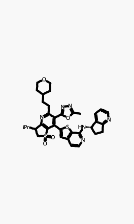 Cc1nnc(-c2c(CCC3CCOCC3)nc3c(c2-c2cc4ccnc(N[C@@H]5CCc6ncccc65)c4s2)S(=O)(=O)CC3C(C)C)o1